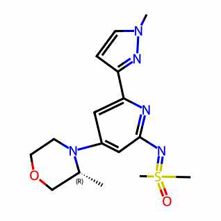 C[C@@H]1COCCN1c1cc(N=S(C)(C)=O)nc(-c2ccn(C)n2)c1